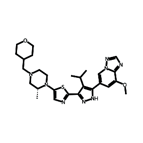 COc1cc(-c2[nH]nc(-c3ncc(N4CCN(CC5CCOCC5)C[C@H]4C)s3)c2C(C)C)cn2ncnc12